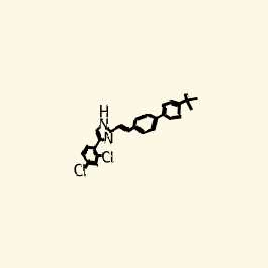 CC(C)(C)c1ccc(-c2ccc(C=Cc3nc(-c4ccc(Cl)cc4Cl)c[nH]3)cc2)cc1